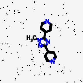 Cn1nc(-c2ccncc2)nc1-c1ccncc1